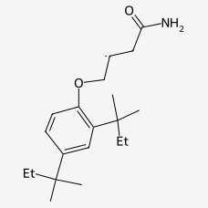 CCC(C)(C)c1ccc(OC[CH]CC(N)=O)c(C(C)(C)CC)c1